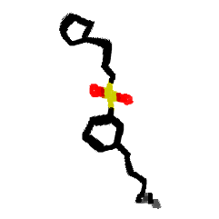 CCCCc1cccc(S(=O)(=O)CC=CC2CCCC2)c1